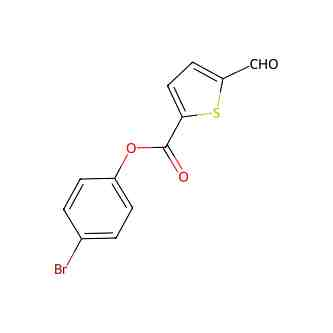 O=Cc1ccc(C(=O)Oc2ccc(Br)cc2)s1